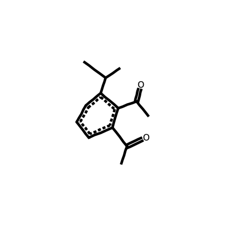 CC(=O)c1cccc(C(C)C)c1C(C)=O